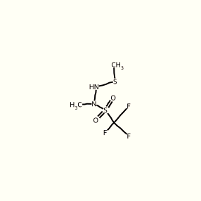 CSNN(C)S(=O)(=O)C(F)(F)F